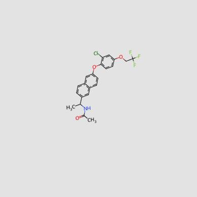 CC(=O)NC(C)c1ccc2cc(Oc3ccc(OCC(F)(F)F)cc3Cl)ccc2c1